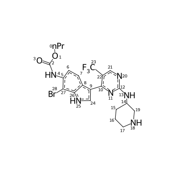 CCCOC(=O)Nc1ccc2c(-c3nc(NC4CCCNC4)ncc3C(F)(F)F)c[nH]c2c1Br